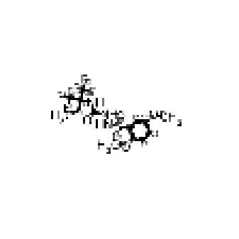 CCC(NC(=O)NNS(=O)(=O)c1cc(OC)ccc1OC)(C(F)(F)F)C(F)(F)F